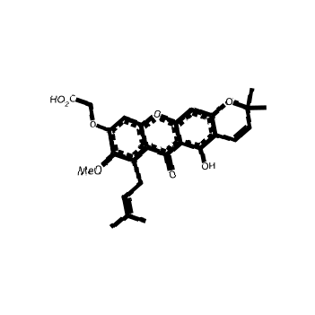 COc1c(OCC(=O)O)cc2oc3cc4c(c(O)c3c(=O)c2c1CC=C(C)C)C=CC(C)(C)O4